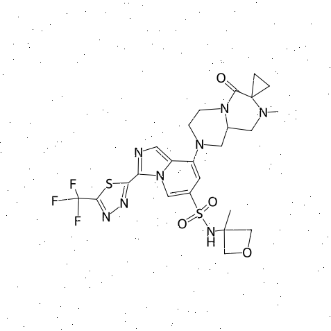 CN1CC2CN(c3cc(S(=O)(=O)NC4(C)COC4)cn4c(-c5nnc(C(F)(F)F)s5)ncc34)CCN2C(=O)C12CC2